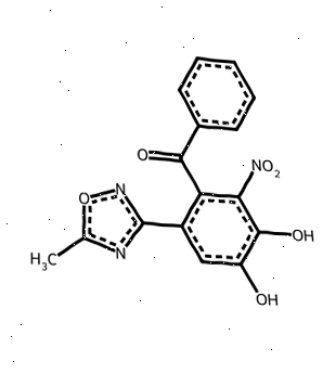 Cc1nc(-c2cc(O)c(O)c([N+](=O)[O-])c2C(=O)c2ccccc2)no1